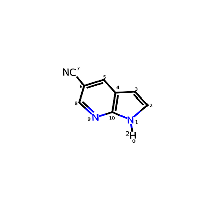 [2H]n1ccc2cc(C#N)cnc21